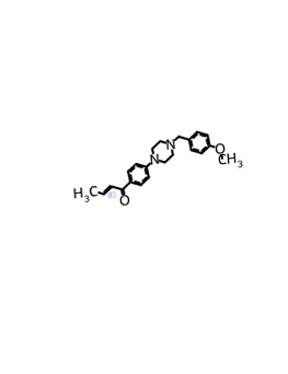 C/C=C/C(=O)c1ccc(N2CCN(Cc3ccc(OC)cc3)CC2)cc1